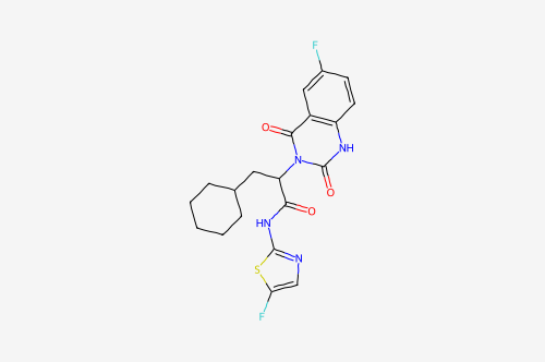 O=C(Nc1ncc(F)s1)C(CC1CCCCC1)n1c(=O)[nH]c2ccc(F)cc2c1=O